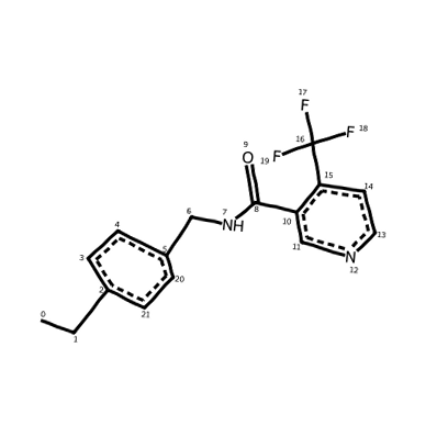 CCc1ccc(CNC(=O)c2cnccc2C(F)(F)F)cc1